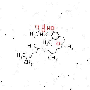 CC(=O)O.Cc1c(O)cc2c(c1C)O[C@](C)(CCCC(C)CCCC(C)CCCC(C)C)CC2